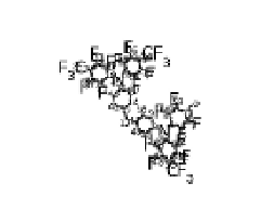 Cc1c(F)c(F)c(N(c2ccc(CC3CCC(N(c4c(F)c(F)c(C(F)(F)F)c(F)c4F)c4c(F)c(F)c(C(F)(F)F)c(F)c4F)CC3)cc2)c2c(F)c(F)c(C(F)(F)F)c(F)c2F)c(F)c1F